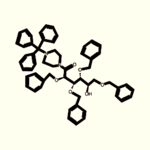 O=C([C@H](OCc1ccccc1)[C@@H](OCc1ccccc1)[C@H](OCc1ccccc1)[C@H](O)COCc1ccccc1)N1CCN(C(c2ccccc2)(c2ccccc2)c2ccccc2)CC1